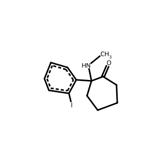 CNC1(c2ccccc2I)CCCCC1=O